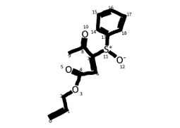 C=CCOC(=O)C=C(C(C)=O)[S+]([O-])c1ccccc1